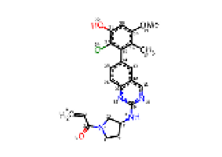 C=CC(=O)N1CC[C@H](Nc2ncc3cc(-c4c(C)c(OC)cc(O)c4Cl)ccc3n2)C1